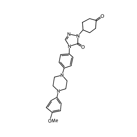 COc1ccc(N2CCN(c3ccc(-n4cnn(C5CCC(=O)CC5)c4=O)cc3)CC2)cc1